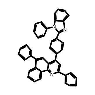 c1ccc(-c2cc(-c3ccc(-c4nc5ccccc5n4-c4ccccc4)cc3)c3cc(-c4ccccc4)c4ccccc4c3n2)cc1